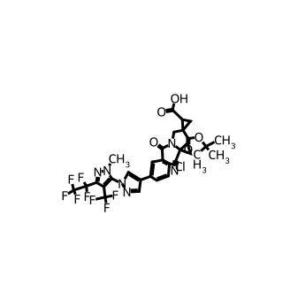 Cn1nc(C(F)(F)C(F)(F)F)c(C(F)(F)F)c1-n1cc(-c2ccc(Cl)c(C(=O)N(CC3(C(=O)OC(C)(C)C)CC3C(=O)O)C3(C#N)CC3)c2)cn1